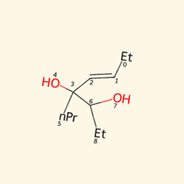 [CH2]C/C=C/C(O)(CCC)C(O)CC